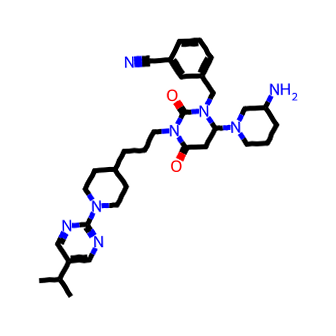 CC(C)c1cnc(N2CCC(CCCN3C(=O)CC(N4CCCC(N)C4)N(Cc4cccc(C#N)c4)C3=O)CC2)nc1